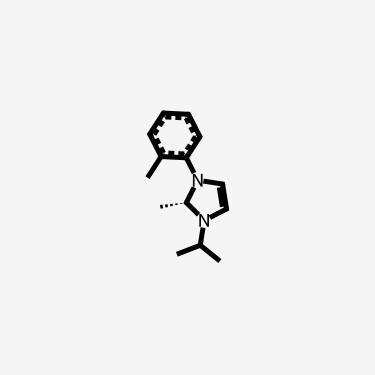 Cc1ccccc1N1C=CN(C(C)C)[C@@H]1C